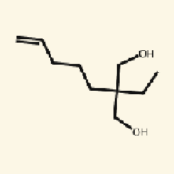 C=CCCCC(CC)(CO)CO